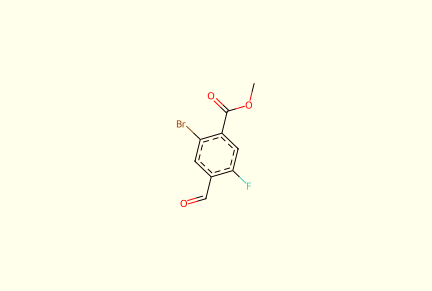 COC(=O)c1cc(F)c(C=O)cc1Br